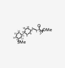 CON(C)C(=O)/C=C/c1ccc(-c2cccc(SC)c2)cc1